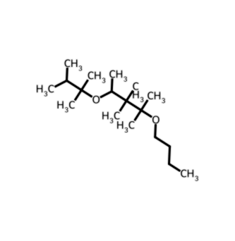 CCCCOC(C)(C)C(C)(C)C(C)OC(C)(C)C(C)C